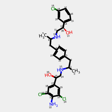 CC(Cc1ccc(CC(C)NC[C@H](O)c2cccc(Cl)c2)cc1)NCC(O)c1cc(Cl)c(N)c(Cl)c1